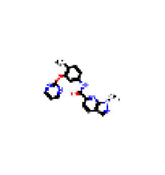 Cc1ccc(NC(=O)c2ccc3cnn(C)c3n2)cc1Oc1ncccn1